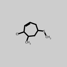 CSC1CC=CC(Cl)C(C)C1